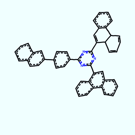 C1=CC2C(c3nc(-c4ccc(-c5ccc6ccccc6c5)cc4)nc(-c4cc5ccccc5c5ccccc45)n3)=Cc3ccccc3C2C=C1